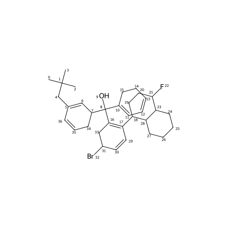 CC(C)(C)CC1=CC(C(O)(C2=CC=CCC2)C2=C(C3CCC(F)C4CCCCC34)C=CC(Br)C2)CC=C1